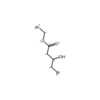 CC(C)COC(=O)CC(O)CBr